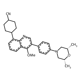 COc1c(-c2ccc(N3C[C@@H](C)O[C@@H](C)C3)cc2)cnc2c(C3CCC(C#N)CC3)cccc12